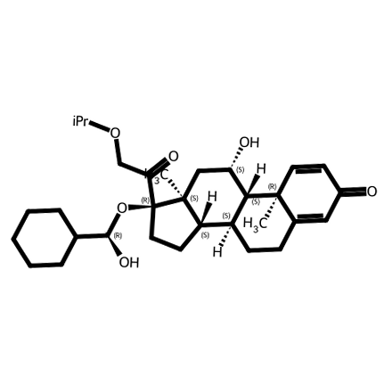 CC(C)OCC(=O)[C@@]1(O[C@@H](O)C2CCCCC2)CC[C@H]2[C@@H]3CCC4=CC(=O)C=C[C@]4(C)[C@H]3[C@@H](O)C[C@@]21C